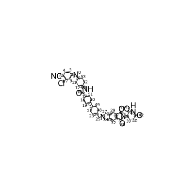 CN(c1ccc(C#N)c(Cl)c1)[C@H]1CC[C@H](NC(=O)c2ccc([C@H]3CC[C@H](CN4Cc5cc6c(cc5C4)C(=O)N(C4CCC(=O)NC4=O)C6=O)CC3)cc2)CC1